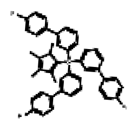 CCc1ccc(-c2cccc([Si](C3=C(C)C(C)=C(C)C3C)(c3cccc(-c4ccc(CC)cc4)c3)c3cccc(-c4ccc(CC)cc4)c3)c2)cc1